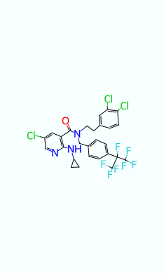 O=C(c1cc(Cl)cnc1NC1CC1)N(CCc1ccc(Cl)c(Cl)c1)Cc1ccc(C(F)(C(F)(F)F)C(F)(F)F)cc1